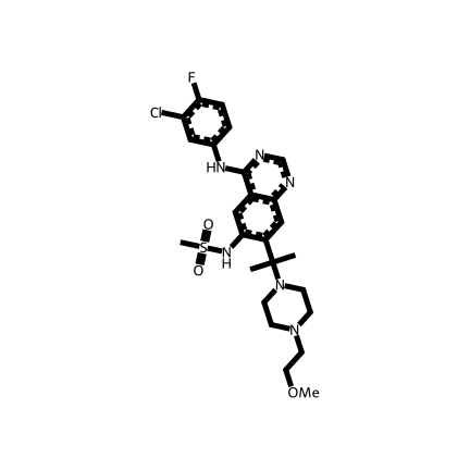 COCCN1CCN(C(C)(C)c2cc3ncnc(Nc4ccc(F)c(Cl)c4)c3cc2NS(C)(=O)=O)CC1